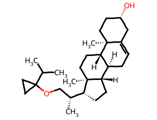 CC(C)C1(OC[C@@H](C)[C@H]2CC[C@H]3[C@@H]4CC=C5C[C@@H](O)CC[C@]5(C)[C@H]4CC[C@]23C)CC1